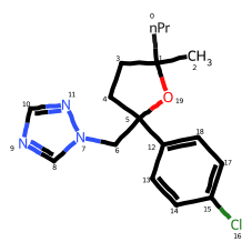 CCCC1(C)CCC(Cn2cncn2)(c2ccc(Cl)cc2)O1